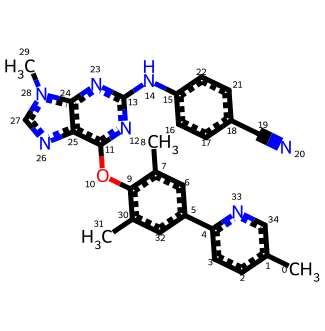 Cc1ccc(-c2cc(C)c(Oc3nc(Nc4ccc(C#N)cc4)nc4c3ncn4C)c(C)c2)nc1